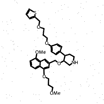 COCCCOc1cc(COC2CNCCC2c2ccc(OCCCOCc3cccs3)cc2)cc2c(OC)cccc12